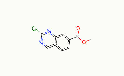 COC(=O)c1ccc2cnc(Cl)nc2c1